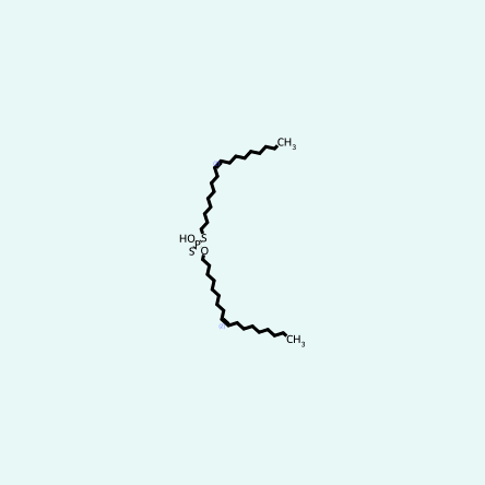 CCCCCCCC/C=C\CCCCCCCCOP(O)(=S)SCCCCCCCC/C=C\CCCCCCCC